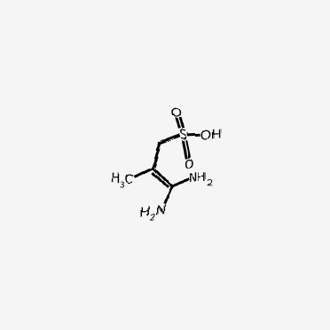 CC(CS(=O)(=O)O)=C(N)N